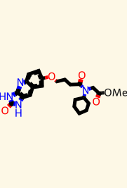 COC(=O)CN(C(=O)CCCOc1ccc2nc3[nH]c(=O)[nH]c3cc2c1)C1CCCCC1